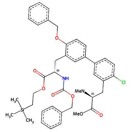 CN[C@@H](Cc1cc(-c2ccc(OCc3ccccc3)c(C[C@H](NC(=O)OCc3ccccc3)C(=O)OCC[Si](C)(C)C)c2)ccc1Cl)C(=O)OC